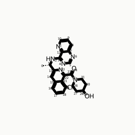 C[C@H](Nc1ncnc2cccnc12)c1cc2cccc(Cl)c2c(C(=O)N2CCC(O)CC2)n1